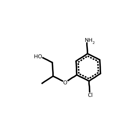 CC(CO)Oc1cc(N)ccc1Cl